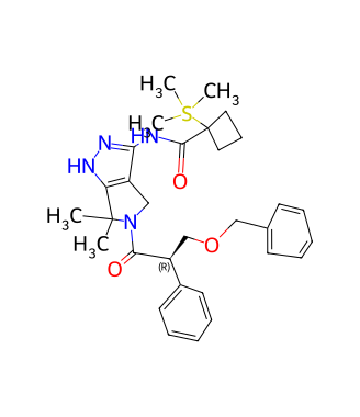 CC1(C)c2[nH]nc(NC(=O)C3(S(C)(C)C)CCC3)c2CN1C(=O)[C@@H](COCc1ccccc1)c1ccccc1